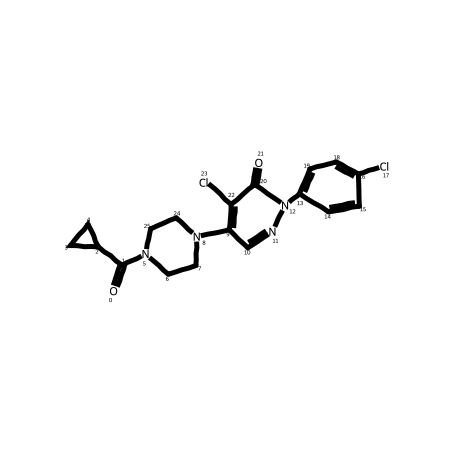 O=C(C1CC1)N1CCN(c2cnn(-c3ccc(Cl)cc3)c(=O)c2Cl)CC1